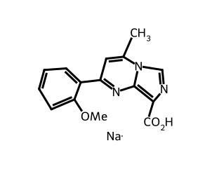 COc1ccccc1-c1cc(C)n2cnc(C(=O)O)c2n1.[Na]